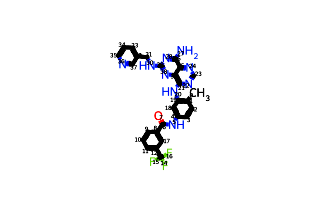 Cc1ccc(NC(=O)c2cccc(C(F)(F)F)c2)cc1Nc1ncnc2c(N)nc(NCc3cccnc3)nc12